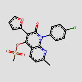 Cc1ccc2c(OS(C)(=O)=O)c(-c3ccco3)c(=O)n(-c3ccc(Cl)cc3)c2n1